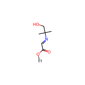 CCOC(=O)C=NC(C)(C)CO